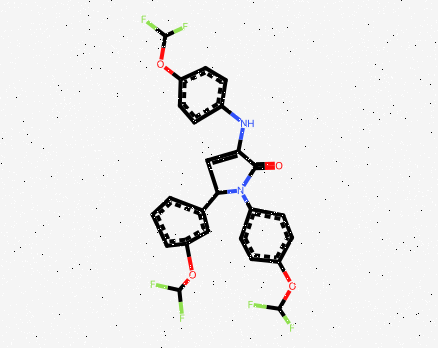 O=C1C(Nc2ccc(OC(F)F)cc2)=CC(c2cccc(OC(F)F)c2)N1c1ccc(OC(F)F)cc1